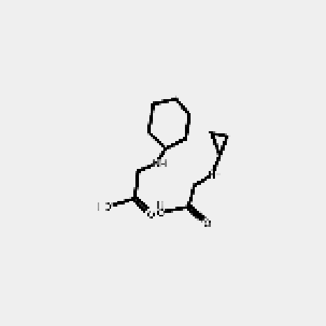 O=C(O)CNC1CC1.O=C(O)CNC1CCCCC1